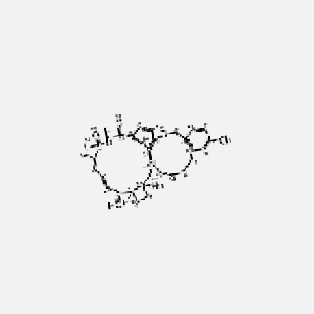 C[C@@H]1C/C=C/[C@H](O)[C@@H]2CC[C@H]2CN2CCCCc3cc(Cl)ccc3COc3ccc(cc32)C(=O)NS1(=O)=O